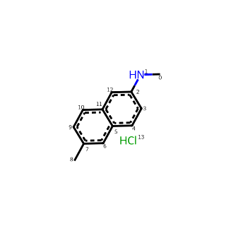 CNc1ccc2cc(C)ccc2c1.Cl